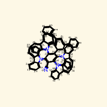 N#Cc1c(-n2c3ccccc3c3ccccc32)c(-n2c3ccccc3c3ccccc32)c(-c2cc(-c3ccccc3)cc(-c3ccccc3)c2)c(-n2c3ccccc3c3ccccc32)c1-n1c2ccccc2c2ccccc21